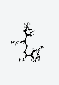 CC(CCC(C)c1cn(C(C)C)nn1)c1cn(C(C)C)nn1